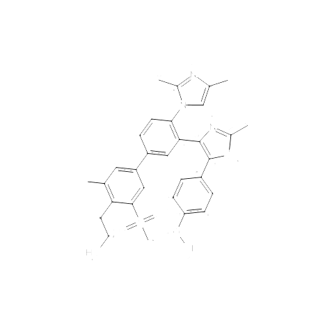 Cc1cn(-c2ccc(-c3cc(F)c(CCO)c(S(C)(=O)=O)c3)cc2-c2nc(C)oc2-c2ccc(OC(F)(F)F)cc2)c(C)n1